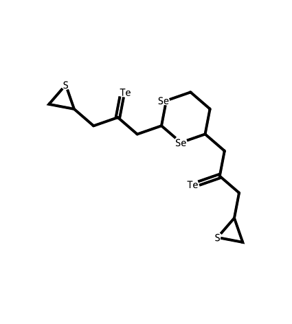 [Te]=C(CC1CS1)CC1CC[Se]C(CC(=[Te])CC2CS2)[Se]1